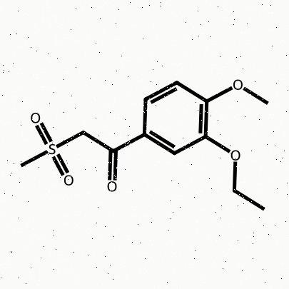 CCOc1cc(C(=O)CS(C)(=O)=O)ccc1OC